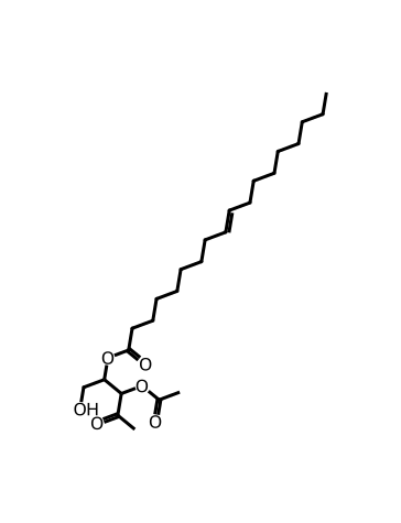 CCCCCCCCC=CCCCCCCCC(=O)OC(CO)C(OC(C)=O)C(C)=O